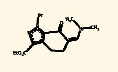 CCOC(=O)c1nn(C(C)C)c2c1CC/C(=C/N(C)C)C2=O